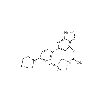 CC(Oc1cc(-c2ccc(N3CCOCC3)cc2)cc2ncsc12)[C@H]1CNC(=O)C1